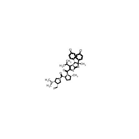 CC(C)C1=C(C(=O)N2[C@H](C)CC[C@H]2C(=O)N2C[C@H](CF)[C@H](N(C)C)C2)SC2=N[C@@](C)(c3ccc(Cl)cc3)[C@@H](c3ccc(Cl)cc3)N21